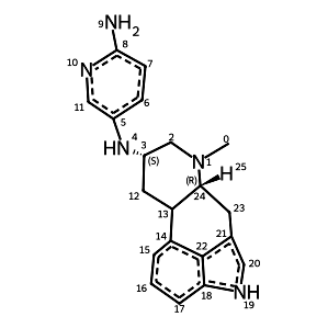 CN1C[C@@H](Nc2ccc(N)nc2)CC2c3cccc4[nH]cc(c34)C[C@H]21